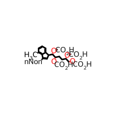 CCCCCCCCCC1=CC(C(OC(=O)O)C(CCC(COC(=O)O)OC(=O)O)OC(=O)O)c2cccc(C)c21